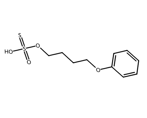 O=S(O)(=S)OCCCCOc1ccccc1